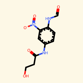 O=CNc1ccc(NC(=O)CCO)cc1[N+](=O)[O-]